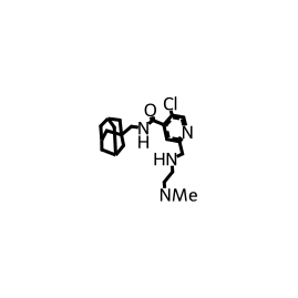 CNCCNCc1cc(C(=O)NCC23CC4CC(CC(C4)C2)C3)c(Cl)cn1